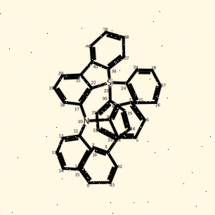 c1ccc(-c2ccccc2N(c2ccccc2)c2cccc3c2[Si](c2ccccc2)(c2ccccc2)c2ccccc2-3)cc1